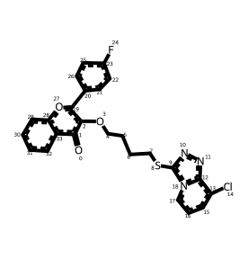 O=c1c(OCCCCSc2nnc3c(Cl)cccn23)c(-c2ccc(F)cc2)oc2ccccc12